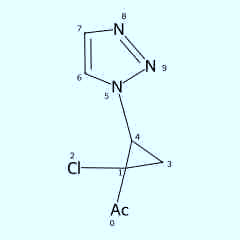 CC(=O)C1(Cl)CC1n1ccnn1